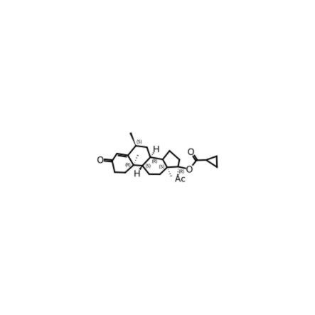 CC(=O)[C@@]1(OC(=O)C2CC2)CCC2[C@@H]3C[C@H](C)C4=CC(=O)CC[C@]4(C)[C@H]3CC[C@@]21C